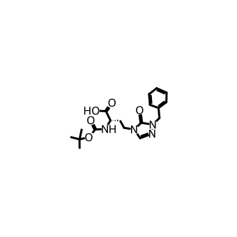 CC(C)(C)OC(=O)N[C@@H](CCn1cnn(Cc2ccccc2)c1=O)C(=O)O